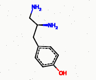 NC[C@@H](N)Cc1ccc(O)cc1